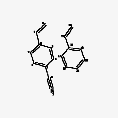 C=Cc1ccc(C#N)cc1.C=Cc1ccccc1